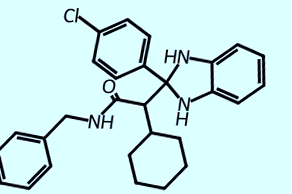 O=C(NCc1ccccc1)C(C1CCCCC1)C1(c2ccc(Cl)cc2)Nc2ccccc2N1